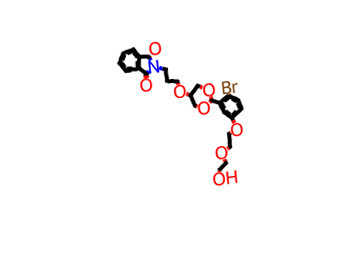 O=C1c2ccccc2C(=O)N1CCCOC1COC(c2cc(OCCOCCO)ccc2Br)OC1